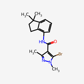 Cc1nn(C)c(Br)c1C(=O)Nc1cccc2c1CCC2(C)C